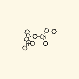 c1ccc(-c2cccc(-c3cc(-c4ccc(-n5c6ccccc6c6ccc7c(c8ccccc8n7-c7ccccc7)c65)cc4)cc(-c4ccccc4)n3)c2)cc1